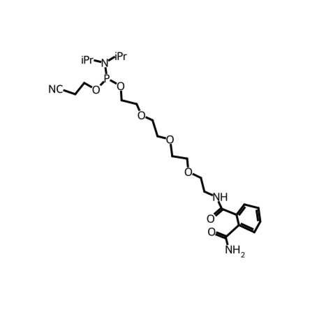 CC(C)N(C(C)C)P(OCCC#N)OCCOCCOCCOCCNC(=O)c1ccccc1C(N)=O